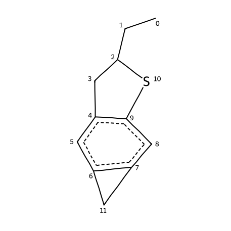 CCC1Cc2cc3c(cc2S1)C3